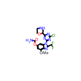 COc1cc(OC(N)=O)cc2c1nc(C(F)F)n2-c1nc(Cl)nc(C2CNCCO2)n1